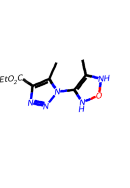 CCOC(=O)c1nnn(C2=C(C)NON2)c1C